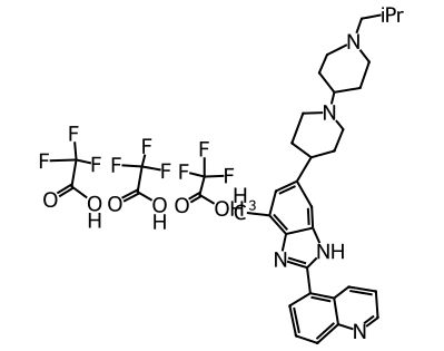 Cc1cc(C2CCN(C3CCN(CC(C)C)CC3)CC2)cc2[nH]c(-c3cccc4ncccc34)nc12.O=C(O)C(F)(F)F.O=C(O)C(F)(F)F.O=C(O)C(F)(F)F